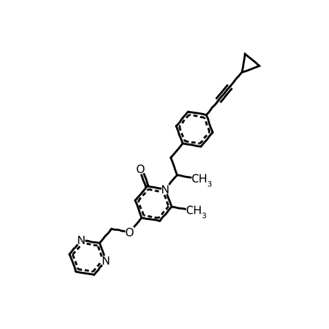 Cc1cc(OCc2ncccn2)cc(=O)n1C(C)Cc1ccc(C#CC2CC2)cc1